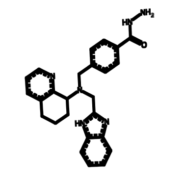 NNC(=O)c1ccc(CN(Cc2nc3ccccc3[nH]2)C2CCCc3cccnc32)cc1